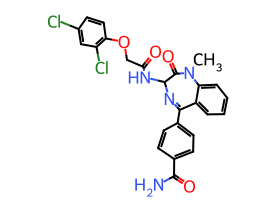 CN1C(=O)C(NC(=O)COc2ccc(Cl)cc2Cl)N=C(c2ccc(C(N)=O)cc2)c2ccccc21